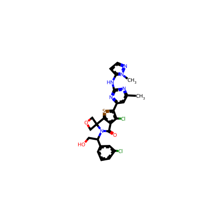 Cc1cc(-c2sc3c(c2Cl)C(=O)N(C(CO)c2cccc(Cl)c2)C32COC2)nc(Nc2ccnn2C)n1